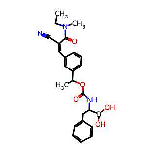 CCN(C)C(=O)C(C#N)=Cc1cccc(C(C)OC(=O)NC(Cc2ccccc2)B(O)O)c1